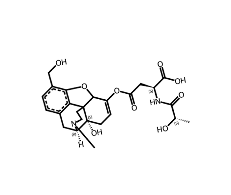 C[C@H](O)C(=O)N[C@@H](CC(=O)OC1=CC[C@@]2(O)[C@H]3Cc4ccc(CO)c5c4C2(CCN3C)C1O5)C(=O)O